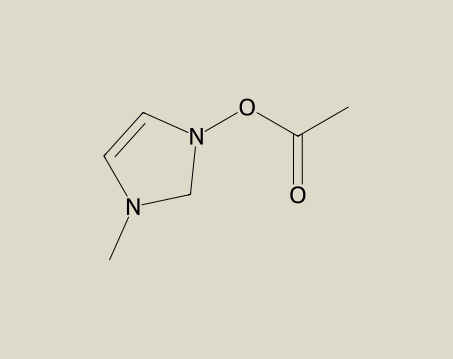 CC(=O)ON1C=CN(C)C1